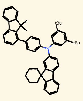 CC(C)(C)c1cc(N(c2ccc(-c3cccc4c3C(C)(C)c3ccccc3-4)cc2)c2ccc3c(c2)C2(CCCCC2)c2ccccc2-3)cc(C(C)(C)C)c1